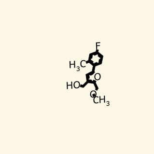 COCc1oc(-c2ccc(F)cc2C)cc1CO